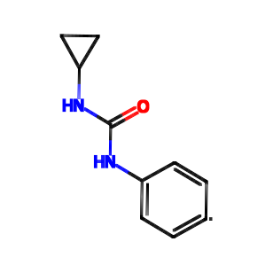 O=C(Nc1cc[c]cc1)NC1CC1